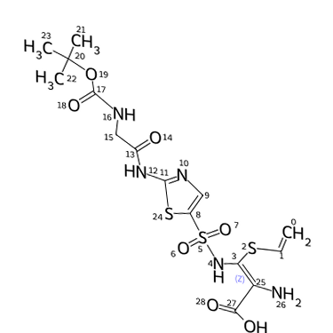 C=CS/C(NS(=O)(=O)c1cnc(NC(=O)CNC(=O)OC(C)(C)C)s1)=C(\N)C(=O)O